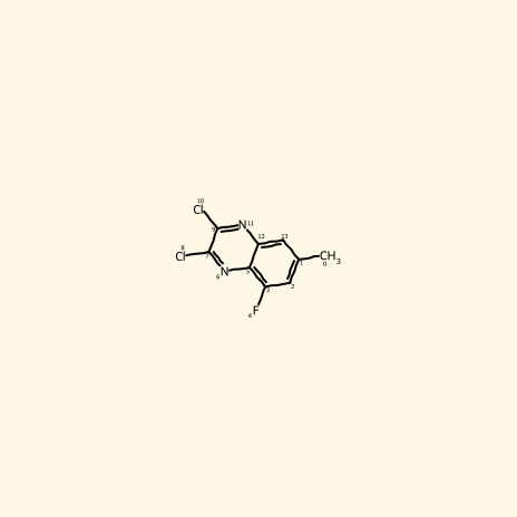 Cc1cc(F)c2nc(Cl)c(Cl)nc2c1